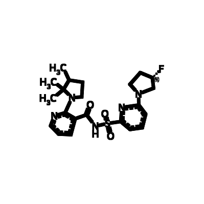 CC1CCN(c2ncccc2C(=O)NS(=O)(=O)c2cccc(N3CC[C@H](F)C3)n2)C1(C)C